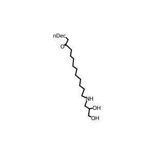 CCCCCCCCCCCC(=O)CCCCCCCCCCNCC(O)CO